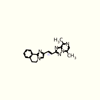 Cc1ncc(C)n2nc(/C=C/c3cn4c(n3)-c3ccccc3CC4)nc12